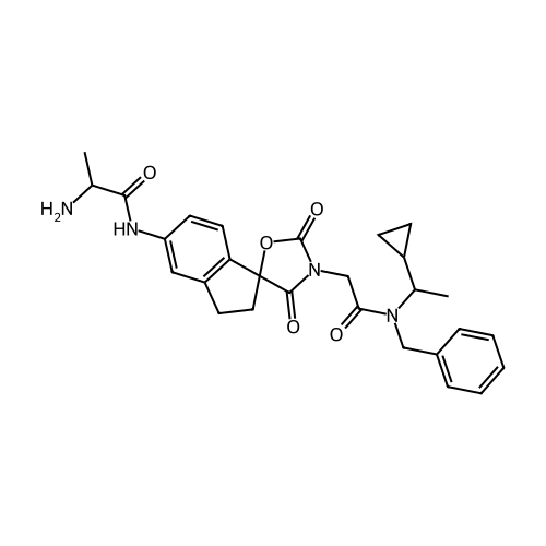 CC(N)C(=O)Nc1ccc2c(c1)CCC21OC(=O)N(CC(=O)N(Cc2ccccc2)C(C)C2CC2)C1=O